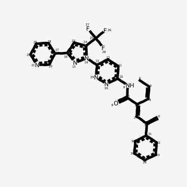 C=C(/C=C(\C=C/C)C(=O)Nc1ccc(-n2nc(-c3cccnc3)cc2C(F)(F)F)nn1)c1ccccc1